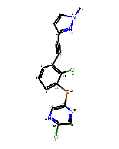 Cn1ccc(C#Cc2cccc(Sc3cnc(Cl)cn3)c2Cl)n1